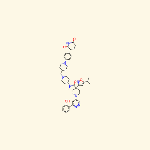 CC(C)c1cc(C2(C(=O)N(C)C3CCN(CC4CCN(c5ccc([C@H]6CCC(=O)NC6=O)cc5)CC4)CC3)CCN(c3cnnc(-c4ccccc4O)c3)CC2)no1